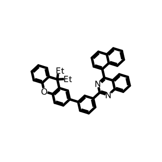 CCC1(CC)c2ccccc2Oc2ccc(-c3cccc(-c4nc(-c5cccc6ccccc56)c5ccccc5n4)c3)cc21